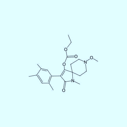 CCOC(=O)OC1=C(c2cc(C)c(C)cc2C)C(=O)N(C)C12CCN(OC)CC2